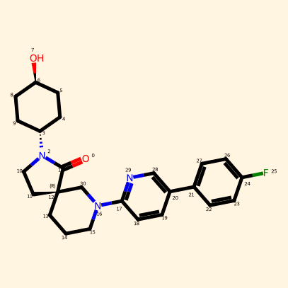 O=C1N([C@H]2CC[C@H](O)CC2)CC[C@@]12CCCN(c1ccc(-c3ccc(F)cc3)cn1)C2